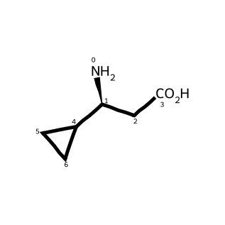 N[C@@H](CC(=O)O)C1CC1